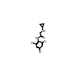 O=C(CNC1CC1)Nc1c(Cl)cc(Cl)cc1Cl